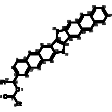 CCC(=O)OC(c1ccc2cc3cc4c(cc3cc2c1)sc1c2cc3cc5ccccc5cc3cc2sc41)C(C)C